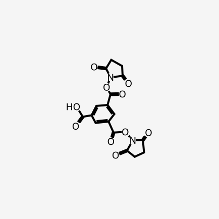 O=C(O)c1cc(C(=O)ON2C(=O)CCC2=O)cc(C(=O)ON2C(=O)CCC2=O)c1